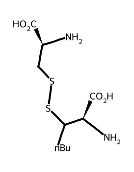 CCCCC(SSC[C@H](N)C(=O)O)[C@H](N)C(=O)O